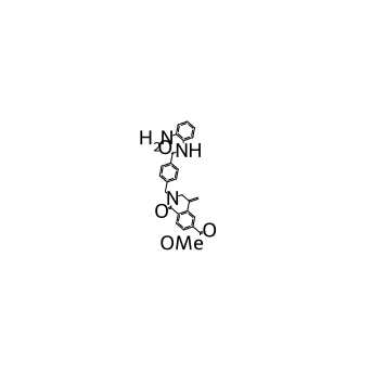 C=C1CN(Cc2ccc(C(=O)Nc3ccccc3N)cc2)C(=O)c2ccc(C(=O)OC)cc21